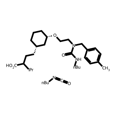 CCCCN=C=O.CCCCNC(=O)N(CCO[C@H]1CCC[C@@H](CCC(C(=O)O)C(C)C)C1)Cc1ccc(C)cc1